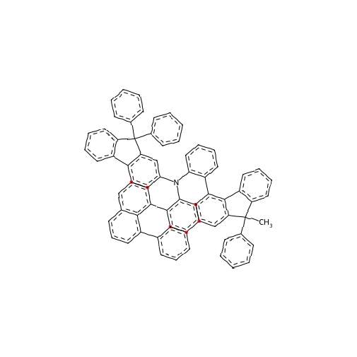 CC1(c2ccccc2)c2ccccc2-c2c(-c3ccccc3N(c3ccc4c(c3)C(c3ccccc3)(c3ccccc3)c3ccccc3-4)c3ccccc3-c3cccc4cccc(-c5ccccc5)c34)cccc21